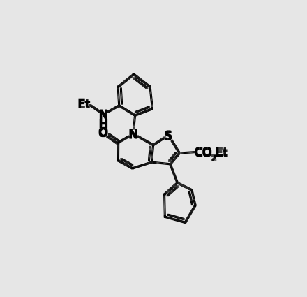 CCNc1ccccc1-n1c(=O)ccc2c(-c3ccccc3)c(C(=O)OCC)sc21